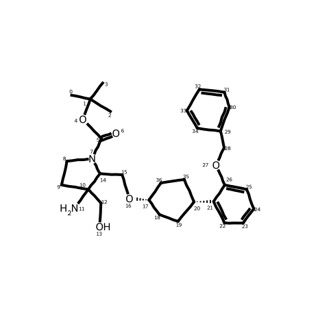 CC(C)(C)OC(=O)N1CCC(N)(CO)C1CO[C@H]1CC[C@@H](c2ccccc2OCc2ccccc2)CC1